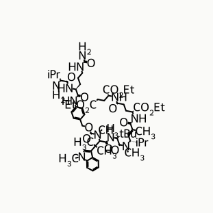 CCOC(=O)CC[C@@H](NC(=O)CC[C@@H](NC(=O)/C(C)=C/[C@H](C(C)C)N(C)C(=O)[C@@H](NC(=O)C(N(C)C(=O)OCc1ccc(NC(=O)[C@H](CCCNC(N)=O)NC(=O)[C@@H](N)C(C)C)cc1)C(C)(C)c1cn(C)c2ccccc12)C(C)(C)C)C(=O)OCC)C(=O)OCC